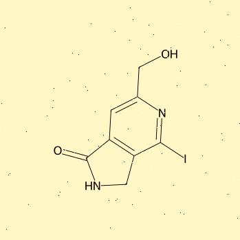 O=C1NCc2c1cc(CO)nc2I